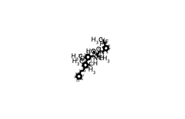 CCC(F)(F)c1cccc(NC(=O)c2c(C)[nH]c(-c3ccc(OC)c(-c4c(C)cc(CCc5ccccc5)cc4C)c3)[n+]2O)c1